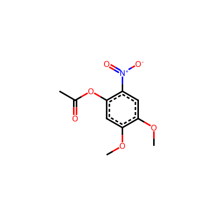 COc1cc(OC(C)=O)c([N+](=O)[O-])cc1OC